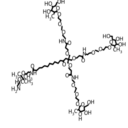 CC1C(OCCOCCOCCNC(=O)CCOCC(COCCC(=O)NCCOCCOCCOC2OC(CO)C(O)C(O)C2C)(COCCC(=O)NCCOCCOCCOC2OC(CO)C(O)C(O)C2C)CC(=O)CCCCCCCCCCC(=O)NCCOC(C)(OCCN)C(C)(C)C)OC(CO)C(O)C1O